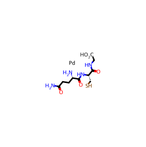 NC(=O)CC[C@H](N)C(=O)N[C@@H](CS)C(=O)NCC(=O)O.[Pd]